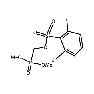 COP(=O)(COS(=O)(=O)c1c(C)cccc1Cl)OC